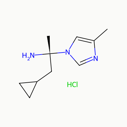 Cc1cn([C@@](C)(N)CC2CC2)cn1.Cl